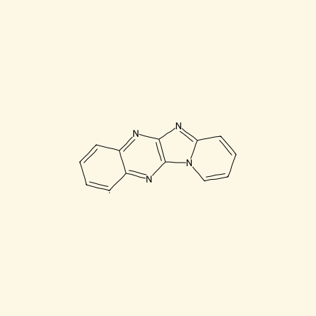 [c]1cccc2nc3nc4ccccn4c3nc12